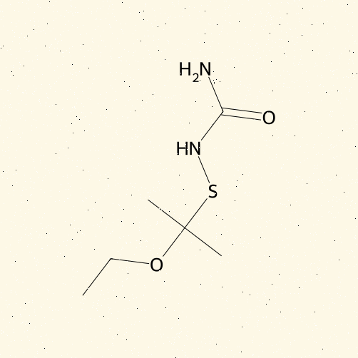 CCOC(C)(C)SNC(N)=O